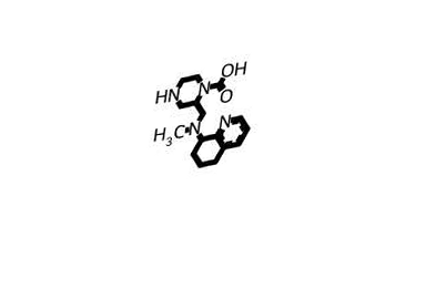 CN(CC1CNCCN1C(=O)O)C1CCCc2cccnc21